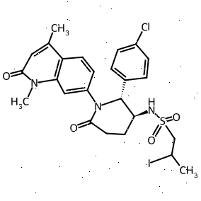 Cc1cc(=O)n(C)c2cc(N3C(=O)CC[C@H](NS(=O)(=O)CC(C)I)[C@H]3c3ccc(Cl)cc3)ccc12